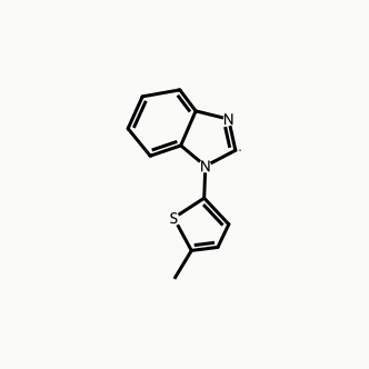 Cc1ccc(-n2[c]nc3ccccc32)s1